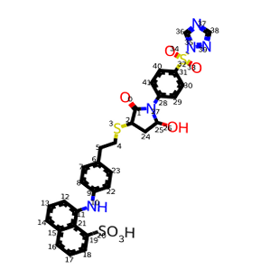 O=C1C(SCCc2ccc(Nc3cccc4cccc(S(=O)(=O)O)c34)cc2)CC(O)N1c1ccc(S(=O)(=O)n2cncn2)cc1